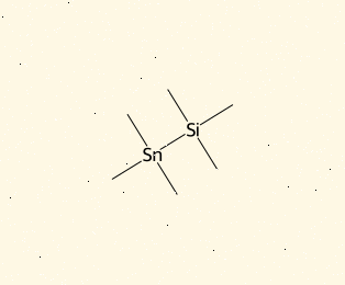 C[Si](C)(C)[Sn]([CH3])([CH3])[CH3]